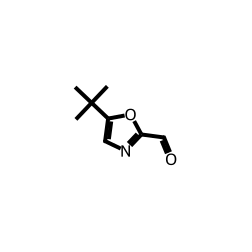 CC(C)(C)c1cnc(C=O)o1